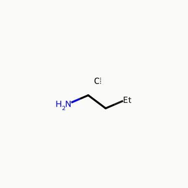 CCCCN.[C]